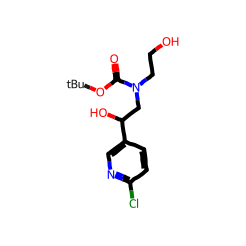 CC(C)(C)OC(=O)N(CCO)CC(O)c1ccc(Cl)nc1